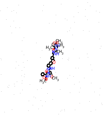 CCCN(C(=O)[C@@H](NC(=O)OC)C(C)C)[C@@H](C)c1ncc(-c2ccc3c(c2)COc2cc4c(ccc5nc([C@@H]6C[C@@H](COC)CN6C(=O)[C@H](NC(=O)OC)c6ccccc6)[nH]c54)cc2-3)[nH]1